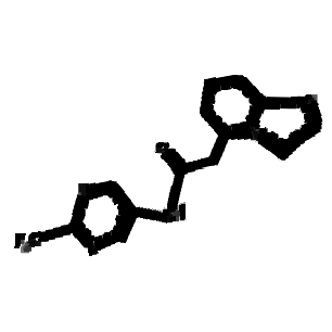 O=C(Cc1cccc2nccn12)Nc1cnc(C(F)(F)F)nc1